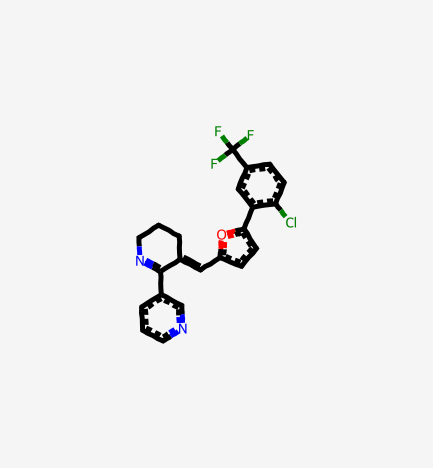 FC(F)(F)c1ccc(Cl)c(-c2ccc(C=C3CCCN=C3c3cccnc3)o2)c1